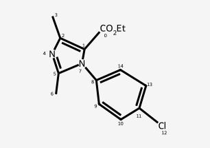 CCOC(=O)c1c(C)nc(C)n1-c1ccc(Cl)cc1